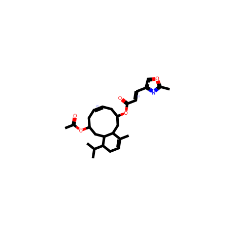 CC(=O)OC1C/C=C\CC(OC(=O)/C=C/c2coc(C)n2)CC2C(C)=CCC(C(C)C)C2C1